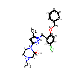 Cc1cc(N2CCN(C)CC2=O)nn1Cc1cc(Cl)ccc1OCc1ccccc1